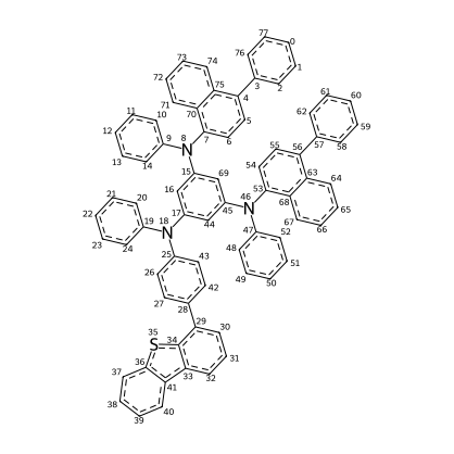 c1ccc(-c2ccc(N(c3ccccc3)c3cc(N(c4ccccc4)c4ccc(-c5cccc6c5sc5ccccc56)cc4)cc(N(c4ccccc4)c4ccc(-c5ccccc5)c5ccccc45)c3)c3ccccc23)cc1